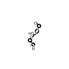 OC(COc1cccc(-c2cc[nH]n2)c1)CN1CCN(c2cccc(Cl)c2)CC1